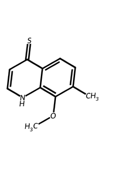 COc1c(C)ccc2c(=S)cc[nH]c12